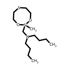 CCCCN(CCCC)C[Si]1(C)OCCSCCO1